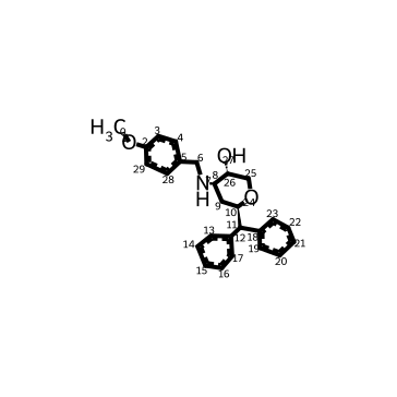 COc1ccc(CN[C@H]2C[C@H](C(c3ccccc3)c3ccccc3)OC[C@H]2O)cc1